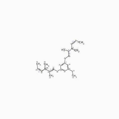 C/C=C\N(C)/C(C)=N/Cc1cc(CC)cc(C/N=C(\C)N(C)/C=C\C)c1